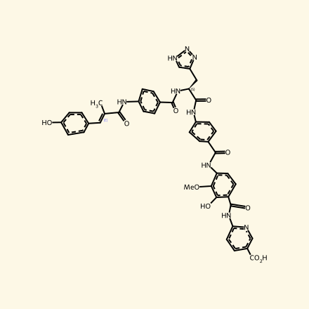 COc1c(NC(=O)c2ccc(NC(=O)[C@H](Cc3c[nH]nn3)NC(=O)c3ccc(NC(=O)/C(C)=C/c4ccc(O)cc4)cc3)cc2)ccc(C(=O)Nc2ccc(C(=O)O)cn2)c1O